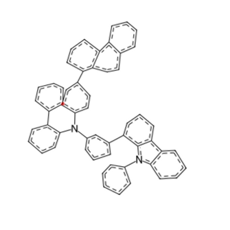 c1ccc(-c2ccccc2N(c2ccc(-c3cccc4c3ccc3ccccc34)cc2)c2cccc(-c3cccc4c5ccccc5n(-c5ccccc5)c34)c2)cc1